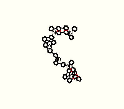 c1ccc(-c2ccc(-c3ccccc3N(c3ccc(-c4cccc5c4oc4ccc(-c6ccc7c8cccc9c8n(c7c6)-c6ccccc6C96c7ccccc7-c7cc(N(c8ccc(-c9ccc%10c(c9)c9ccccc9n%10-c9ccccc9)cc8)c8ccccc8-c8ccc(-c9ccccc9)cc8)ccc76)cc45)cc3)c3ccc4c(c3)-c3ccccc3C43c4ccccc4-n4c5ccccc5c5cccc3c54)cc2)cc1